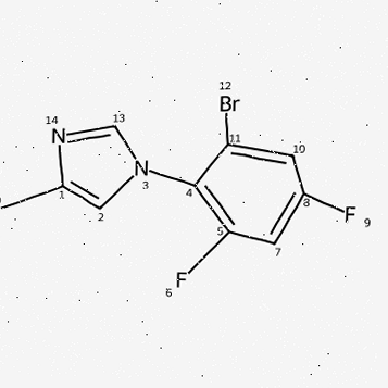 Cc1cn(-c2c(F)cc(F)cc2Br)cn1